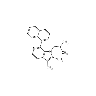 Cc1c(C)n(CC(C)C)c2c(-c3cccc4ccccc34)nccc12